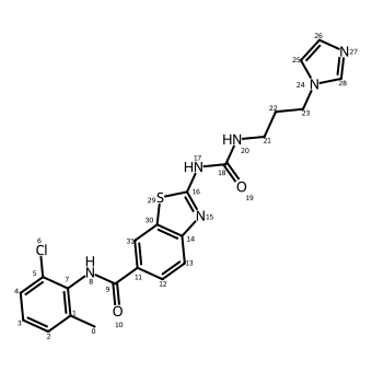 Cc1cccc(Cl)c1NC(=O)c1ccc2nc(NC(=O)NCCCn3ccnc3)sc2c1